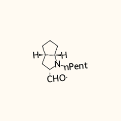 CCCCCN1[C@H]([C]=O)C[C@@H]2CCC[C@@H]21